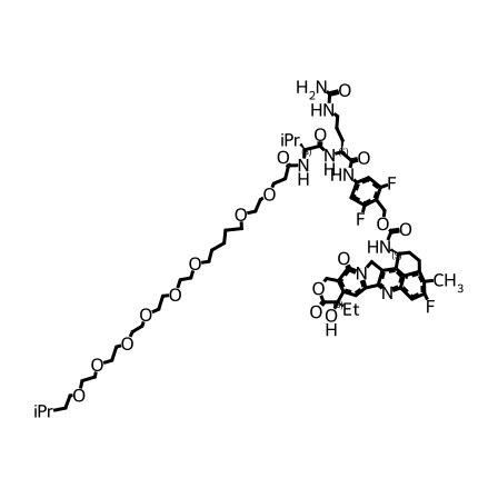 CC[C@@]1(O)C(=O)OCc2c1cc1n(c2=O)Cc2c-1nc1cc(F)c(C)c3c1c2[C@@H](NC(=O)OCc1c(F)cc(NC(=O)[C@H](CCCNC(N)=O)NC(=O)[C@@H](NC(=O)CCOCCOCCCCCOCCOCCOCCOCCOCCOCCC(C)C)C(C)C)cc1F)CC3